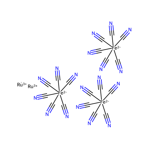 N#[C][Fe-2]([C]#N)([C]#N)([C]#N)([C]#N)[C]#N.N#[C][Fe-2]([C]#N)([C]#N)([C]#N)([C]#N)[C]#N.N#[C][Fe-2]([C]#N)([C]#N)([C]#N)([C]#N)[C]#N.[Ru+3].[Ru+3]